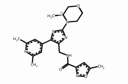 Cc1cc(-c2sc(N3CCOC[C@@H]3C)nc2CNC(=O)c2cc(C)on2)cc(C)n1